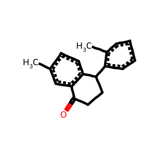 Cc1ccc2c(c1)C(=O)CCC2c1ccccc1C